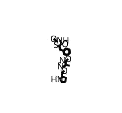 Cc1c(OCC2CCCN2)ncnc1Oc1cccc(C=C2SC(=O)NC2=O)c1